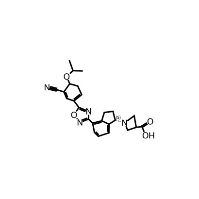 CC(C)OC1CC=C(c2nc(-c3cccc4c3CC[C@@H]4N3CC(C(=O)O)C3)no2)C=C1C#N